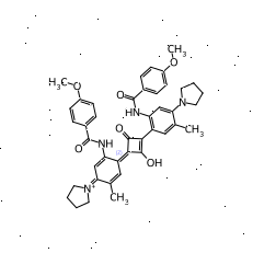 COc1ccc(C(=O)NC2=CC(=[N+]3CCCC3)C(C)=C/C2=C2/C(=O)C(c3cc(C)c(N4CCCC4)cc3NC(=O)c3ccc(OC)cc3)=C2O)cc1